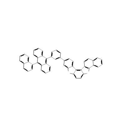 c1cc(-c2ccc3c(c2)sc2ccc4oc5c6ccccc6ccc5c4c23)cc(-c2c3ccccc3c(-c3cccc4ccccc34)c3ccccc23)c1